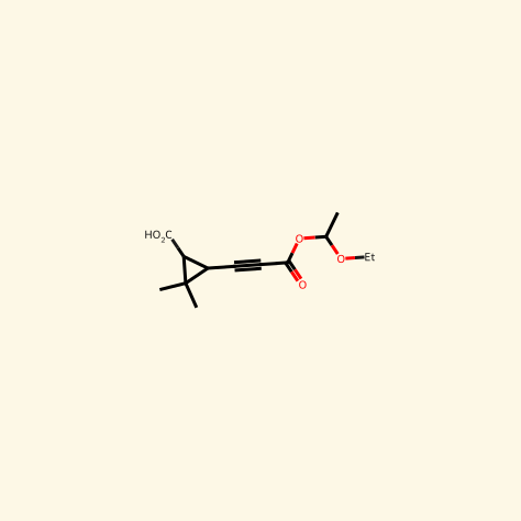 CCOC(C)OC(=O)C#CC1C(C(=O)O)C1(C)C